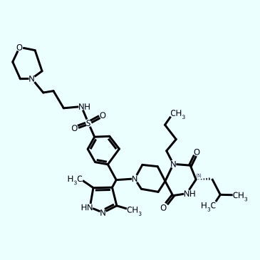 CCCCN1C(=O)[C@H](CC(C)C)NC(=O)C12CCN(C(c1ccc(S(=O)(=O)NCCCN3CCOCC3)cc1)c1c(C)n[nH]c1C)CC2